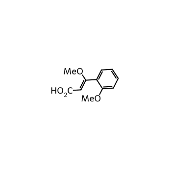 COC(=CC(=O)O)c1ccccc1OC